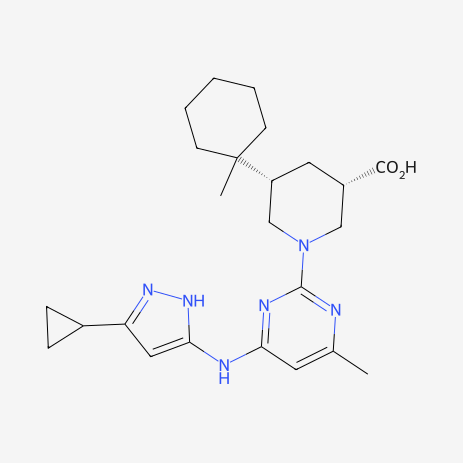 Cc1cc(Nc2cc(C3CC3)n[nH]2)nc(N2C[C@@H](C(=O)O)C[C@@H](C3(C)CCCCC3)C2)n1